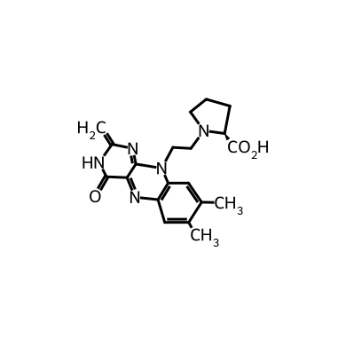 C=c1nc2c(c(=O)[nH]1)=Nc1cc(C)c(C)cc1N2CCN1CCC[C@H]1C(=O)O